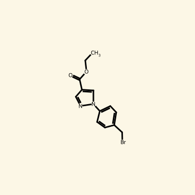 CCOC(=O)c1cnn(-c2ccc(CBr)cc2)c1